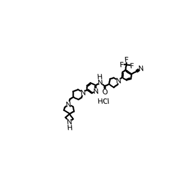 Cl.N#Cc1ccc(N2CCC(C(=O)Nc3ccc(N4CCC(CN5CCC6(CC5)CNC6)CC4)cn3)CC2)cc1C(F)(F)F